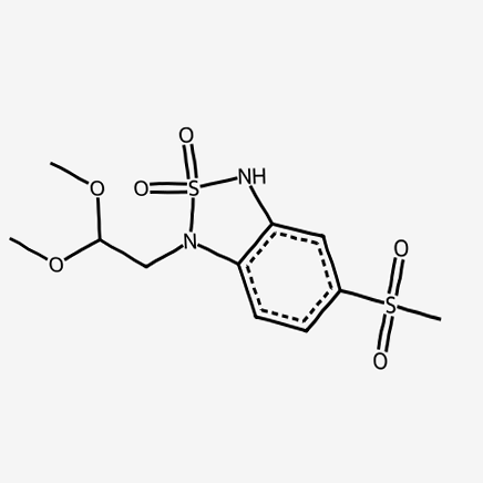 COC(CN1c2ccc(S(C)(=O)=O)cc2NS1(=O)=O)OC